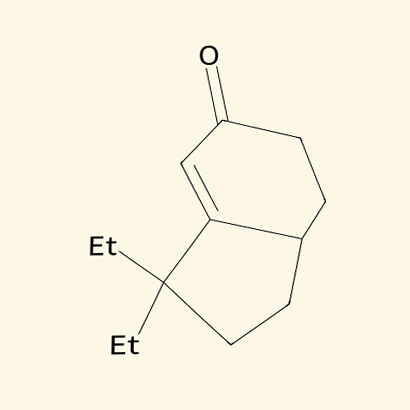 CCC1(CC)CCC2CCC(=O)C=C21